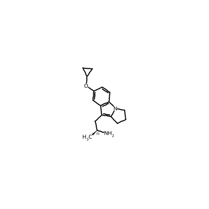 C[C@H](N)Cc1c2n(c3ccc(OC4CC4)cc13)CCC2